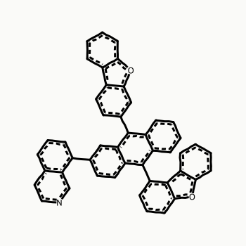 c1cc(-c2ccc3c(-c4cccc5oc6ccccc6c45)c4ccccc4c(-c4ccc5c(c4)oc4ccccc45)c3c2)c2cnccc2c1